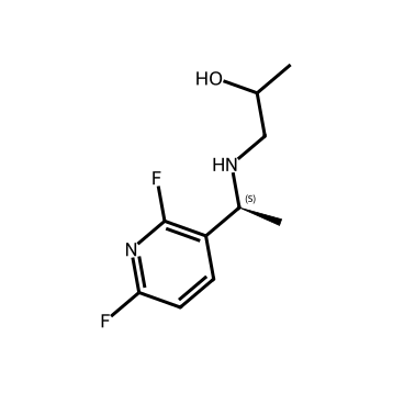 CC(O)CN[C@@H](C)c1ccc(F)nc1F